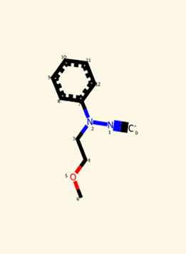 [C-]#[N+]N(CCOC)c1ccccc1